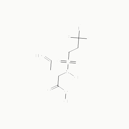 C=CC[C@@H](C(=O)OC)N(C)S(=O)(=O)CCC(F)(F)F